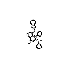 O=c1cc(Nc2ccccc2)n(-c2ccccc2)c2c(CN3Cc4ccccc4C3)cncc12